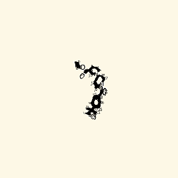 CCOC(=O)C1CCCN(C2CCN(C(=O)c3ccc(C4(C)COC4)cc3)CC2)C1